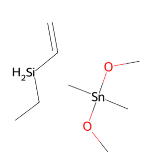 C=C[SiH2]CC.C[O][Sn]([CH3])([CH3])[O]C